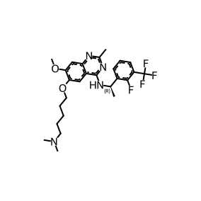 COc1cc2nc(C)nc(N[C@H](C)c3cccc(C(F)(F)F)c3F)c2cc1OCCCCCN(C)C